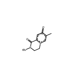 Cc1cn2c(cc1=O)C(=O)N(C(C)(C)C)CC2